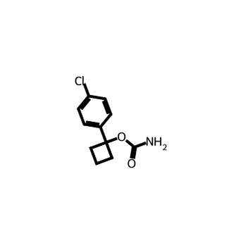 NC(=O)OC1(c2ccc(Cl)cc2)CCC1